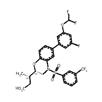 C[C@@H](CC(=O)O)[C@H]1CN(S(=O)(=O)c2cccc(C(F)(F)F)c2)c2cc(-c3cc(F)cc(OC(F)F)c3)ccc2O1